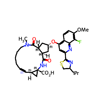 COc1ccc2c(O[C@@H]3C[C@H]4C(=O)N[C@]5(C(=O)O)C[C@H]5/C=C\CCCCN(C)C(=O)[C@@H]4C3)cc(C3=NC(C(C)C)CS3)nc2c1F